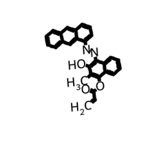 C=CC(=O)Oc1c(C)c(O)c(N=Nc2cccc3cc4ccccc4cc23)c2ccccc12